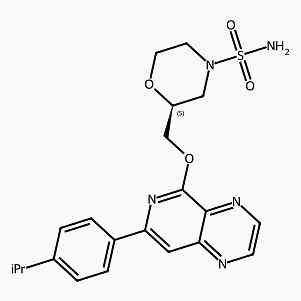 CC(C)c1ccc(-c2cc3nccnc3c(OC[C@@H]3CN(S(N)(=O)=O)CCO3)n2)cc1